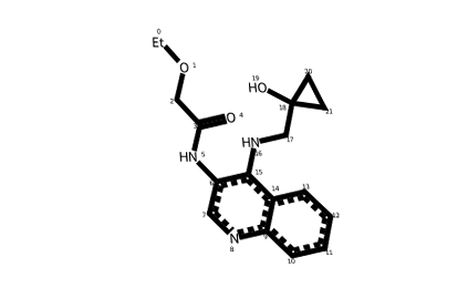 CCOCC(=O)Nc1cnc2ccccc2c1NCC1(O)CC1